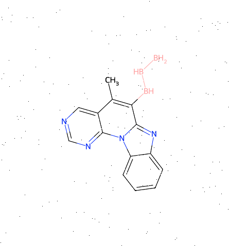 BBBc1c(C)c2cncnc2n2c1nc1ccccc12